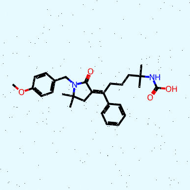 COc1ccc(CN2C(=O)/C(=C(\CCCC(C)(C)NC(=O)O)c3ccccc3)CC2(C)C)cc1